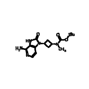 CN(C(=O)OC(C)(C)C)[C@H]1C[C@@H](n2c(=O)[nH]c3c(N)nccc32)C1